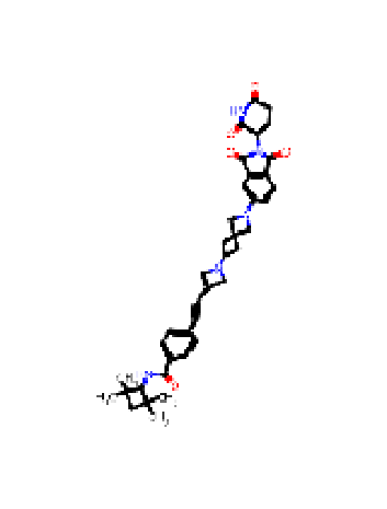 CC1(C)CC(C)(C)C1NC(=O)c1ccc(C#CC2CN(C3CC4(C3)CN(c3ccc5c(c3)C(=O)N(C3CCC(=O)NC3=O)C5=O)C4)C2)cc1